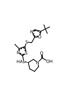 Cc1nc([AsH][C@@H]2CCCN(C(=O)O)C2)sc1SCc1ncc(C(C)(C)C)o1